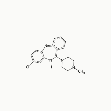 CN1CCN(C2=c3ccccc3=Nc3ccc(Cl)cc3N2I)CC1